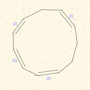 [C]1=C/CC/C=C\C\C=C/C=C\1